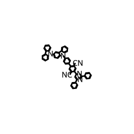 N#Cc1cc(-c2cc(-c3ccccc3)nc(-c3ccccc3)n2)c(C#N)cc1-c1ccc(-n2c3ccccc3c3cc(-n4c5ccccc5c5ccccc54)ccc32)cc1